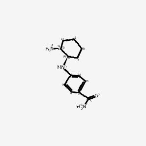 NC(=O)c1ccc(N[C@@H]2CCCC[C@@H]2N)cc1